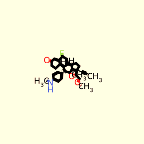 CC#C[C@]1(C(=O)COC)CC[C@H]2[C@@H]3CC(F)C4=CC(=O)CCC4=C3[C@@H](c3ccc(NC)cc3)C[C@@]21C